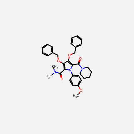 COc1ccc(-n2c(C(=O)N(C)C)c(OCc3ccccc3)c(OCc3ccccc3)c2C(=O)N2CCCCC2)cc1